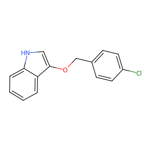 Clc1ccc(COc2c[nH]c3ccccc23)cc1